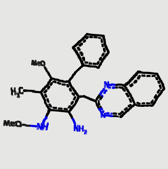 CONc1c(C)c(OC)c(-c2ccccc2)c(-c2ncc3ccccc3n2)c1N